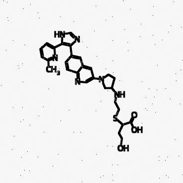 Cc1cccc(-c2[nH]cnc2-c2ccc3ncc(N4CCC(NCCSC(CCO)C(=O)O)C4)cc3c2)n1